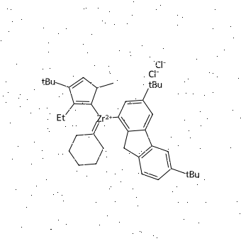 CCC1=[C]([Zr+2](=[C]2CCCCC2)[c]2cc(C(C)(C)C)cc3c2Cc2ccc(C(C)(C)C)cc2-3)C(C)C=C1C(C)(C)C.[Cl-].[Cl-]